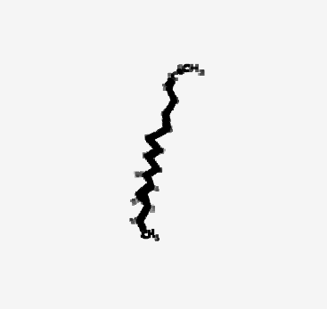 C=C=CCCCCCCCCC=CCCC